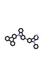 c1ccc(-n2c3ccncc3c3cc(-c4ccc5c(c4)c4ccccc4n5-c4ccc5c6ccccc6c6ccccc6c5c4)ccc32)cc1